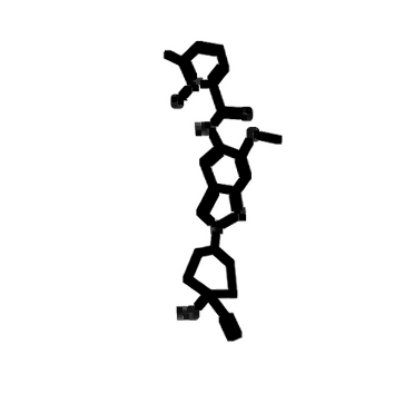 C#CC1(O)CCC(n2cc3cc(NC(=O)c4cccc(C)[n+]4[O-])c(OC)cc3n2)CC1